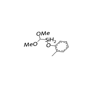 COC(OC)[SiH2]Oc1ccccc1C